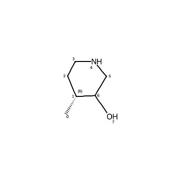 C[C@@H]1CCNCC1O